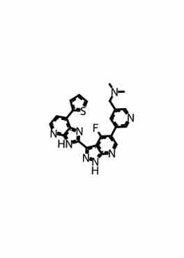 CN(C)Cc1cncc(-c2cnc3[nH]nc(-c4nc5c(-c6cccs6)ccnc5[nH]4)c3c2F)c1